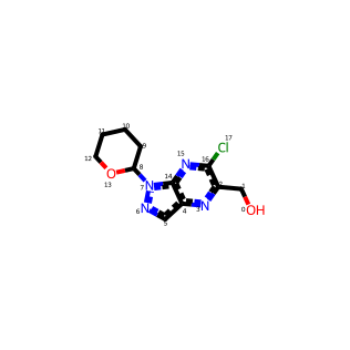 OCc1nc2cnn(C3CCCCO3)c2nc1Cl